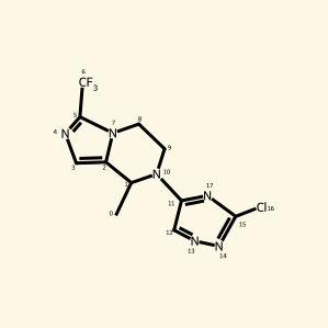 CC1c2cnc(C(F)(F)F)n2CCN1c1cnnc(Cl)n1